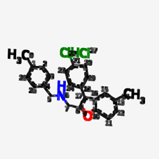 Cc1ccc(CNCc2oc3ccc(C)cc3c2-c2ccc(Cl)cc2)cc1.Cl